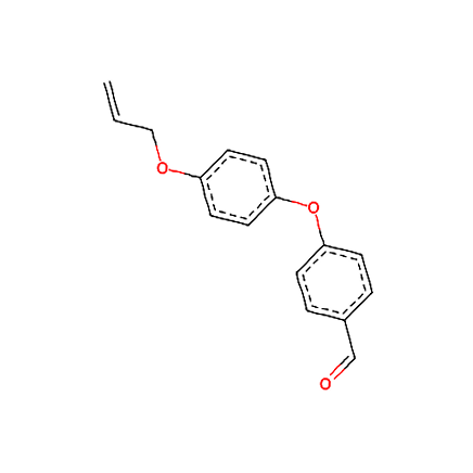 C=CCOc1ccc(Oc2ccc(C=O)cc2)cc1